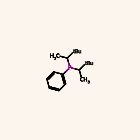 CC(P(c1ccccc1)C(C)C(C)(C)C)C(C)(C)C